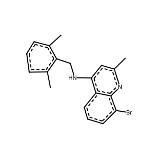 Cc1cc(NCc2c(C)cccc2C)c2cccc(Br)c2n1